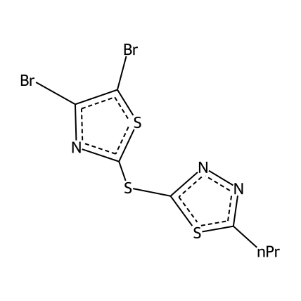 CCCc1nnc(Sc2nc(Br)c(Br)s2)s1